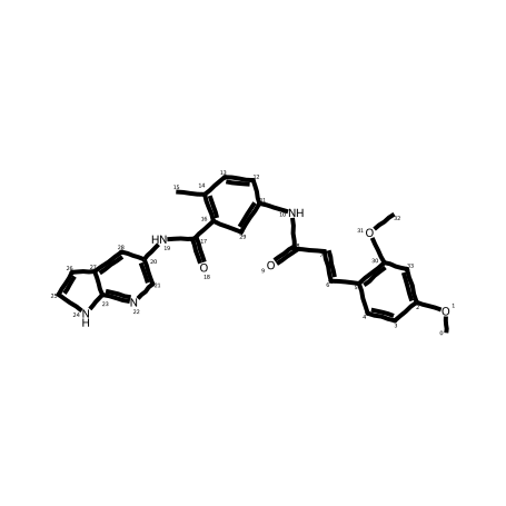 COc1ccc(C=CC(=O)Nc2ccc(C)c(C(=O)Nc3cnc4[nH]ccc4c3)c2)c(OC)c1